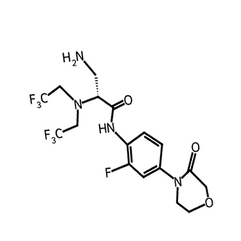 NC[C@H](C(=O)Nc1ccc(N2CCOCC2=O)cc1F)N(CC(F)(F)F)CC(F)(F)F